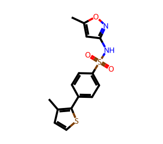 Cc1cc(NS(=O)(=O)c2ccc(-c3sccc3C)cc2)no1